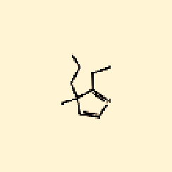 CCCC1(C)C=CN=C1CC